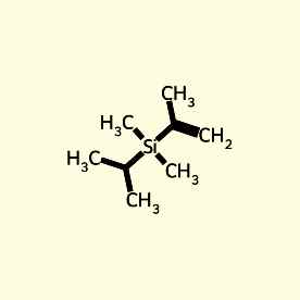 C=C(C)[Si](C)(C)C(C)C